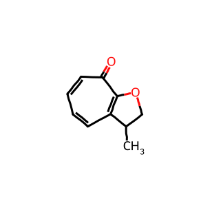 CC1COc2c1ccccc2=O